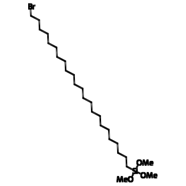 CO[Si](CCCCCCCCCCCCCCCCCCCCCCCBr)(OC)OC